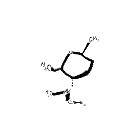 C[C@H]1CC[C@H](N(C)C)[C@@H](C)O1